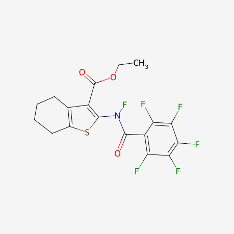 CCOC(=O)c1c(N(F)C(=O)c2c(F)c(F)c(F)c(F)c2F)sc2c1CCCC2